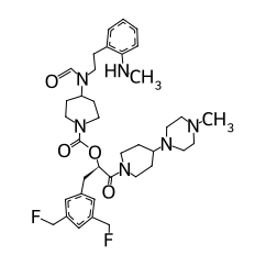 CNc1ccccc1CCN(C=O)C1CCN(C(=O)O[C@H](Cc2cc(CF)cc(CF)c2)C(=O)N2CCC(N3CCN(C)CC3)CC2)CC1